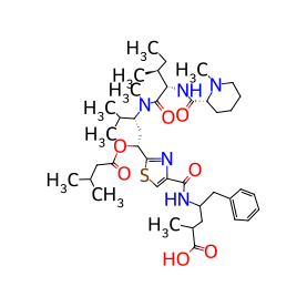 CC[C@H](C)[C@H](NC(=O)[C@H]1CCCCN1C)C(=O)N(C)[C@H](C[C@@H](OC(=O)CC(C)C)c1nc(C(=O)NC(Cc2ccccc2)CC(C)C(=O)O)cs1)C(C)C